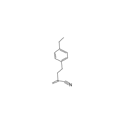 C=C(C#N)CCc1ccc(CC)cc1